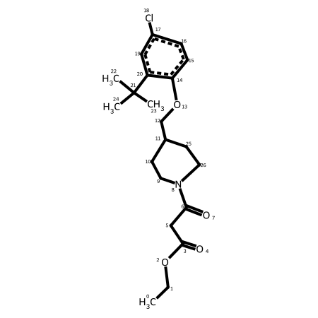 CCOC(=O)CC(=O)N1CCC(COc2ccc(Cl)cc2C(C)(C)C)CC1